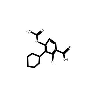 CC(=O)Nc1ccc(C(=O)O)c(O)c1C1CCCCC1